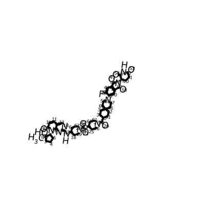 C[C@@]1(O)CCCC1n1c(=O)ccc2cnc(NC3CCN(S(=O)(=O)C4CCN(C(=O)C5CCC6(CC5)CCN(c5cc7c(cc5F)C(=O)N(C5CCC(=O)NC5=O)C7=O)CC6)CC4)CC3)nc21